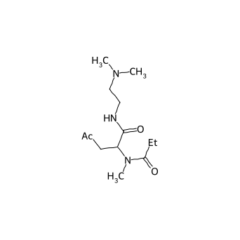 CCC(=O)N(C)C(CC(C)=O)C(=O)NCCN(C)C